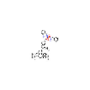 C/C(=C\c1ccc(COP(=O)(NCc2ccccc2)NCc2ccccc2)cc1)c1ccc2c(c1)C(C)(C)CCC2(C)C